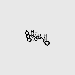 O=C(Nc1c2c(cc3c1CCC3)CCC2)NS(=O)(=O)/C=C/C1Cc2ccccc2N1